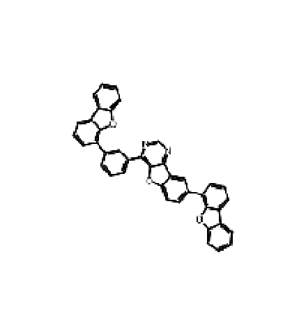 c1cc(-c2cccc3c2oc2ccccc23)cc(-c2ncnc3c2oc2ccc(-c4cccc5c4oc4ccccc45)cc23)c1